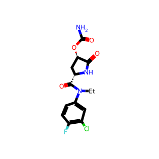 CCN(C(=O)[C@@H]1C[C@H](OC(N)=O)C(=O)N1)c1ccc(F)c(Cl)c1